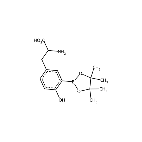 CC1(C)OB(c2cc(CC(N)C(=O)O)ccc2O)OC1(C)C